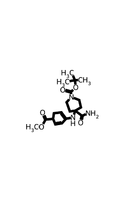 COC(=O)C1C=CC(NC2(C(N)=O)CCN(C(=O)OC(C)(C)C)CC2)=CC1